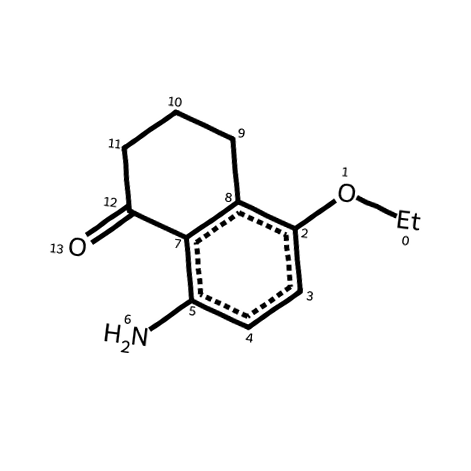 CCOc1ccc(N)c2c1CCCC2=O